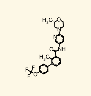 Cc1c(C(=O)Nc2ccc(N3CCO[C@@H](C)C3)nc2)cccc1-c1ccc(OC(F)(F)F)cc1